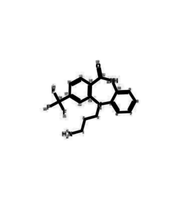 NCCCN1c2ccccc2NC(=O)c2ccc(C(F)(F)F)cc21